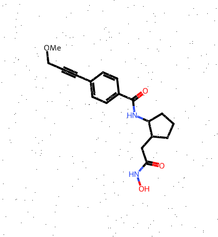 COCC#Cc1ccc(C(=O)NC2CCCC2CC(=O)NO)cc1